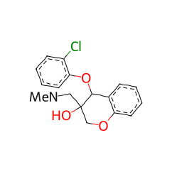 CNCC1(O)COc2ccccc2C1Oc1ccccc1Cl